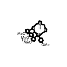 COc1ccc(C2=Cc3cc4ccc(cc5nc(cc6[nH]c(c(-c7ccc(OC)cc7)c2n3)c(-c2ccc(OC)cc2)c6-c2ccc(OC)cc2)C=C5)[nH]4)cc1.Cl